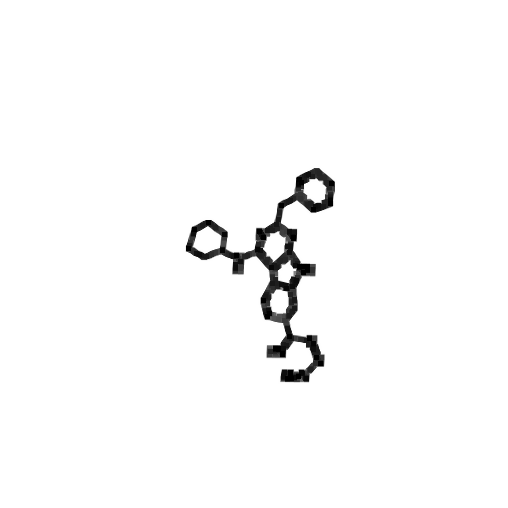 CN/N=N\C(=N)c1ccc2c(c1)[nH]c1nc(Cc3ccccc3)nc(NC3CCCCC3)c12